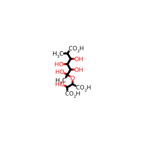 CC(C(=O)O)C(O)C(O)C(O)C(C)(O)OC(C(=O)O)C(O)C(=O)O